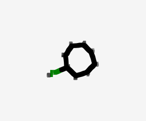 FC1CC[CH]CCCC1